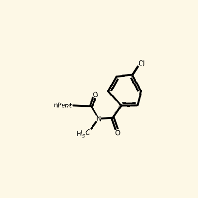 CCCCCC(=O)N(C)C(=O)c1ccc(Cl)cc1